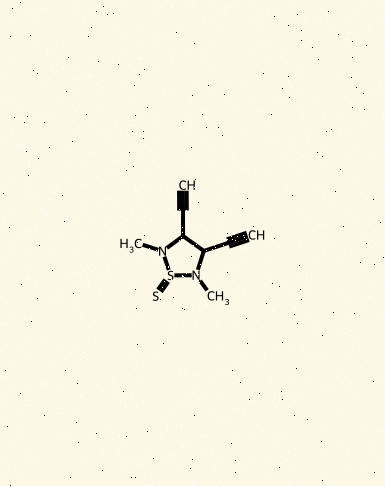 C#CC1C(C#C)N(C)S(=S)N1C